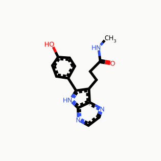 CNC(=O)CCc1c(-c2ccc(O)cc2)[nH]c2nccnc12